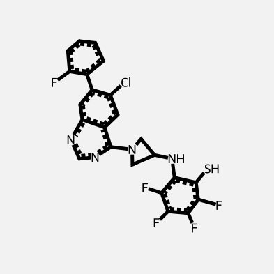 Fc1ccccc1-c1cc2ncnc(N3CC(Nc4c(F)c(F)c(F)c(F)c4S)C3)c2cc1Cl